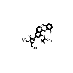 CCn1c(CO)nn(-c2cc(OC(C)C(F)(F)F)c3c(Oc4c(F)cccc4Cl)nccc3c2)c1=O